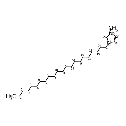 CCCCCCCCCCCCCCCCCCCCCCN1C=CN(C)C1